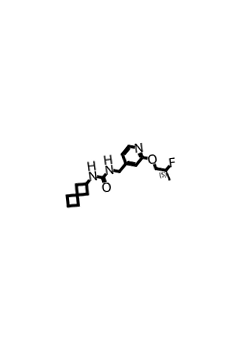 C[C@H](F)COc1cc(CNC(=O)NC2CC3(CCC3)C2)ccn1